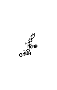 CN1CCN(c2ccc(Nc3nc(-c4ccc(NC(=O)Nc5ccccc5)cc4)nc(N4CC5CCC(C4)O5)n3)cc2)CC1